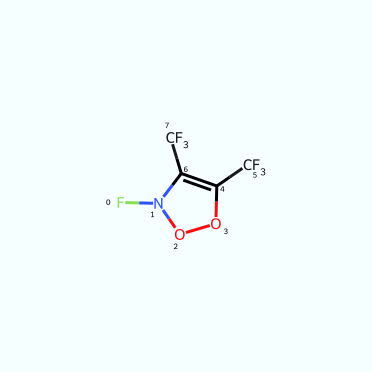 FN1OOC(C(F)(F)F)=C1C(F)(F)F